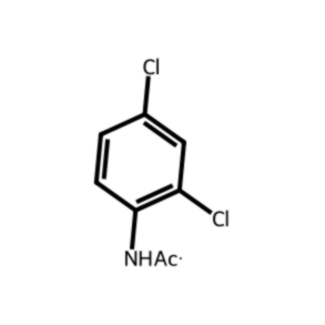 CC(=O)[N]c1ccc(Cl)cc1Cl